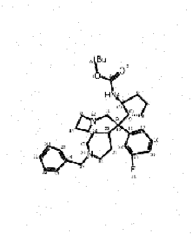 CC(C)(C)OC(=O)N[C@H]1CCC[C@@H]1[C@](CN1CCC1)(c1cccc(F)c1)C1CCN(Cc2ccccc2)CC1